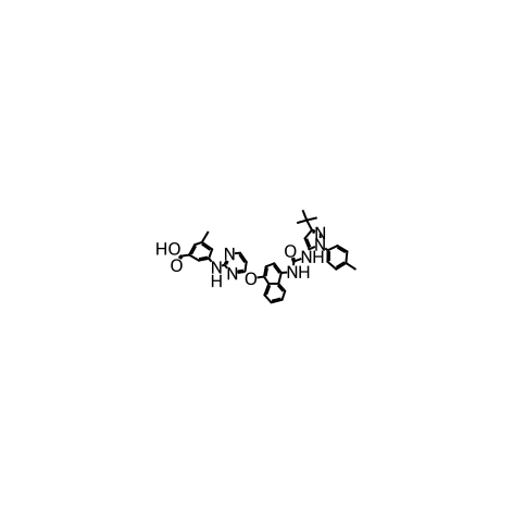 Cc1ccc(-n2nc(C(C)(C)C)cc2NC(=O)Nc2ccc(Oc3ccnc(Nc4cc(C)cc(C(=O)O)c4)n3)c3ccccc23)cc1